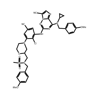 COc1ccc(CN(c2nc(Nc3cc(C#N)cc(N4CCOC(CN(Cc5ccc(OC)cc5)S(C)(=O)=O)C4)c3Cl)nn3c(C#N)cnc23)C2CC2)cc1